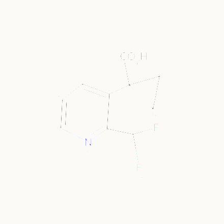 O=C(O)C1(c2cccnc2C(F)F)CC1